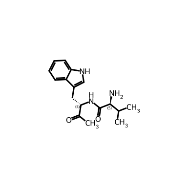 CC(=O)[C@H](Cc1c[nH]c2ccccc12)NC(=O)[C@@H](N)C(C)C